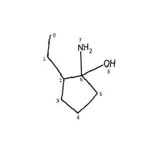 CCC1CCCC1(N)O